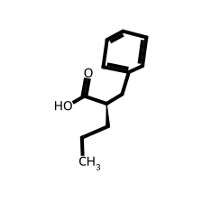 CCC[C@H](Cc1ccccc1)C(=O)O